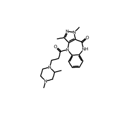 Cc1nn(C)c2c1N(C(=O)CCN1CCN(C)CC1C)c1ccccc1NC2=O